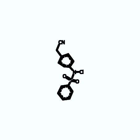 N#CCc1ccc(N(Cl)S(=O)(=O)c2ccccc2)cc1